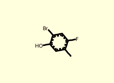 Cc1cc(O)c(Br)cc1F